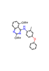 COc1nc(Nc2ccc(Oc3ccccc3)cc2C)c2c(OC)cccc2n1